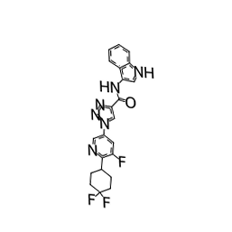 O=C(Nc1c[nH]c2ccccc12)c1cn(-c2cnc(C3CCC(F)(F)CC3)c(F)c2)nn1